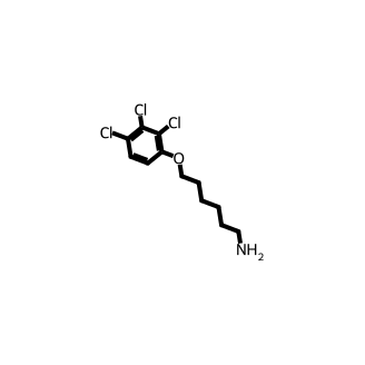 NCCCCCCOc1ccc(Cl)c(Cl)c1Cl